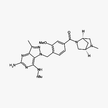 CCCCNc1nc(N)nc2c(C)nn(Cc3ccc(C(=O)N4C[C@H]5C[C@@H]4CN5C)cc3OC)c12